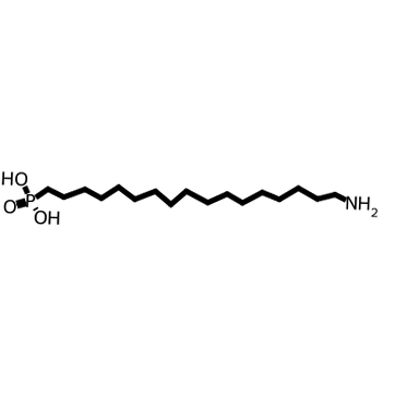 NCCCCCCCCCCCCCCCCCP(=O)(O)O